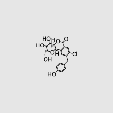 O=C1O[C@@H]2[C@@H](O)[C@H](O)[C@@H](CO)O[C@H]2c2cc(Cc3ccc(O)cc3)c(Cl)cc21